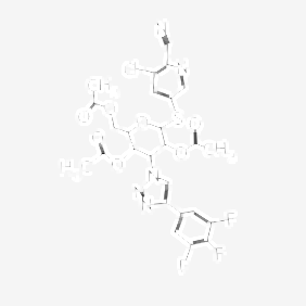 CC(=O)OCC1OC(Sc2cnc(C#N)c(Cl)c2)C(OC(C)=O)C(n2cc(-c3cc(F)c(F)c(F)c3)nn2)C1OC(C)=O